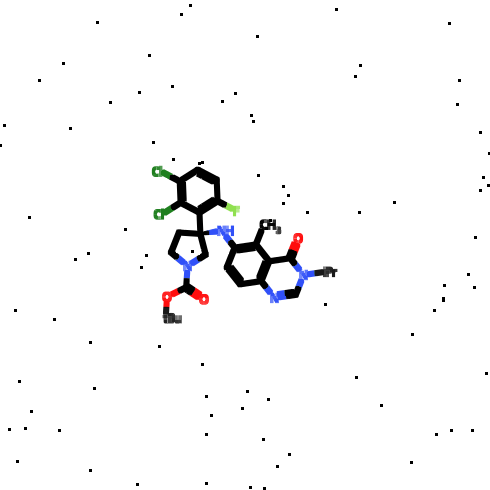 Cc1c(N[C@]2(c3c(F)ccc(Cl)c3Cl)CCN(C(=O)OC(C)(C)C)C2)ccc2ncn(C(C)C)c(=O)c12